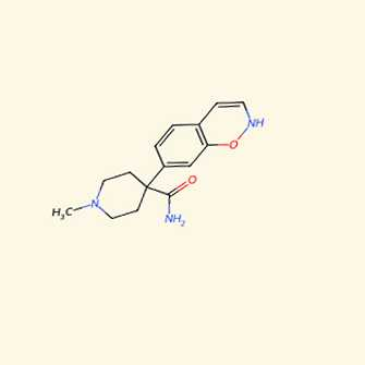 CN1CCC(C(N)=O)(c2ccc3c(c2)ONC=C3)CC1